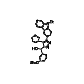 CCn1c2ccccc2c2cc(-n3nnc(C(O)c4cccc(OC)c4)c3-c3ccccc3)ccc21